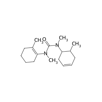 CC1=C(N(C)C(=O)N(C)C2CC=CCC2C)CCCC1